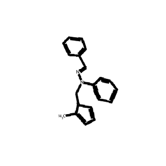 CC1=CC=CC1CN(N=Cc1ccccc1)c1ccccc1